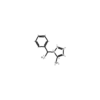 CC(c1ccccc1)n1nnnc1N